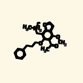 COc1c(C(C)=O)c(OCCCc2ccccc2)c(CN(C)C)c2occc12